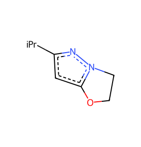 CC(C)c1cc2n(n1)CCO2